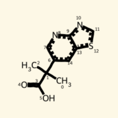 CC(C)(C(=O)O)c1cnc2ncsc2c1